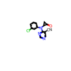 N#Cc1cncnc1N(c1cccc(Cl)c1)C1CC1=O